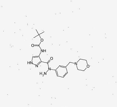 CC(C)(C)OC(=O)Nc1c[nH]nc1C(=O)N(N)c1cccc(CN2CCOCC2)c1